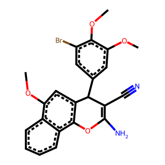 COc1cc(C2C(C#N)=C(N)Oc3c2cc(OC)c2ccccc32)cc(Br)c1OC